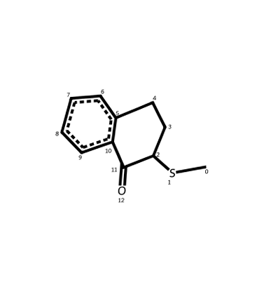 CSC1CCc2ccccc2C1=O